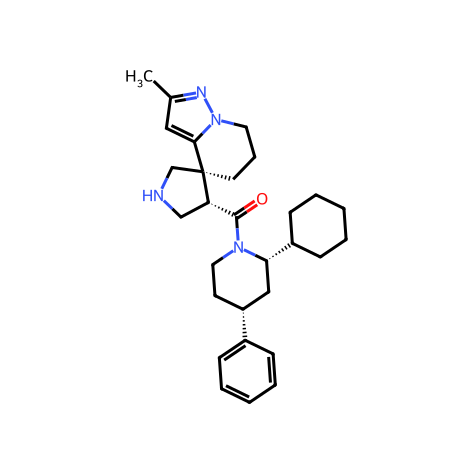 Cc1cc2n(n1)CCC[C@]21CNC[C@H]1C(=O)N1CC[C@@H](c2ccccc2)C[C@H]1C1CCCCC1